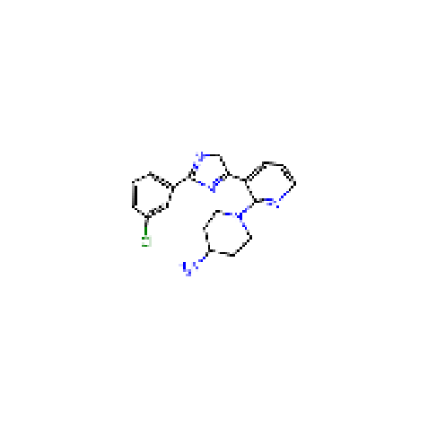 NC1CCN(c2ncccc2C2=NC(c3cccc(Cl)c3)=NC2)CC1